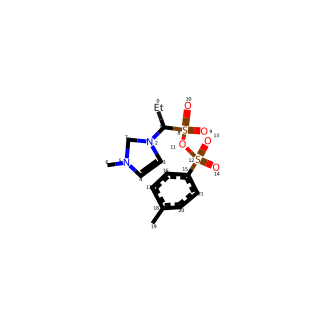 CCC(N1C=CN(C)C1)S(=O)(=O)OS(=O)(=O)c1ccc(C)cc1